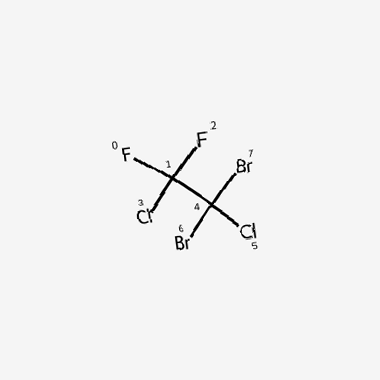 FC(F)(Cl)C(Cl)(Br)Br